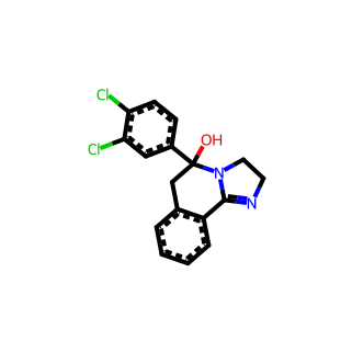 OC1(c2ccc(Cl)c(Cl)c2)Cc2ccccc2C2=NCCN21